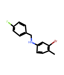 Cc1ccc(NCc2ccc(F)cc2)cc1Br